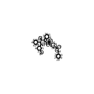 COc1cccc(NC(C(=O)c2cn(S(=O)(=O)C3CCN(C(=O)OCc4ccccc4)CC3)c3ccccc23)c2ccccc2)c1